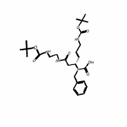 CC(C)(C)OC(=O)NCCC[C@@H](CC(=O)NCCNC(=O)OC(C)(C)C)N(Cc1ccccc1)C(=O)O